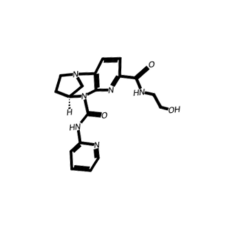 O=C(NCCO)c1ccc2c(n1)N(C(=O)Nc1ccccn1)[C@H]1CCN2C1